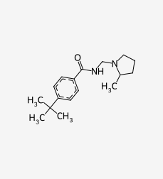 CC1CCCN1CNC(=O)c1ccc(C(C)(C)C)cc1